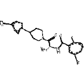 Cc1ccc(F)cc1C(=O)N[C@@H](C(=O)N1CCC(c2ccc(Cl)cc2)CC1)C(C)C